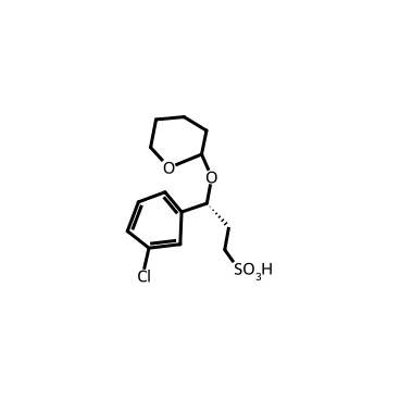 O=S(=O)(O)CC[C@@H](OC1CCCCO1)c1cccc(Cl)c1